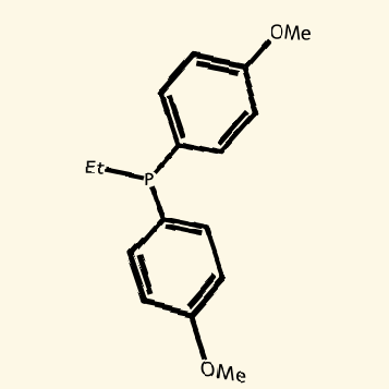 CCP(c1ccc(OC)cc1)c1ccc(OC)cc1